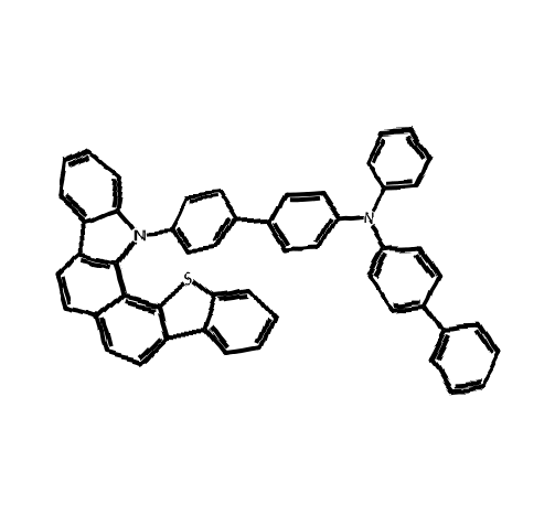 c1ccc(-c2ccc(N(c3ccccc3)c3ccc(-c4ccc(-n5c6ccccc6c6ccc7ccc8c9ccccc9sc8c7c65)cc4)cc3)cc2)cc1